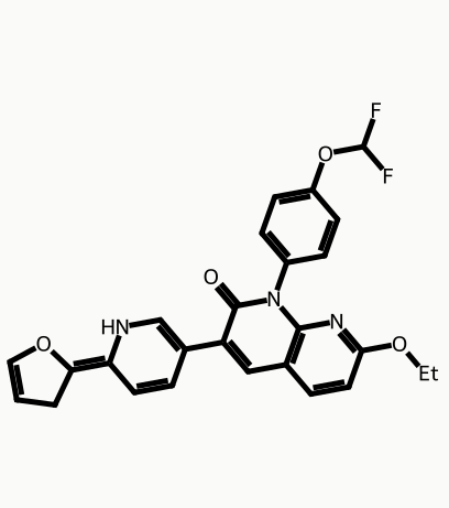 CCOc1ccc2cc(C3=CNC(=C4CC=CO4)C=C3)c(=O)n(-c3ccc(OC(F)F)cc3)c2n1